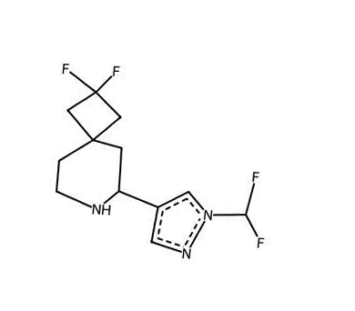 FC(F)n1cc(C2CC3(CCN2)CC(F)(F)C3)cn1